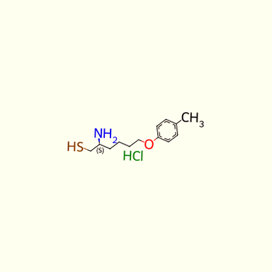 Cc1ccc(OCCCC[C@H](N)CS)cc1.Cl